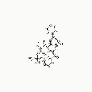 CC(C)(C)OC(=O)N1CCCC1c1cc(C(=O)N2CCOCC2)cc2c(=O)cc(N3CCOCC3)oc12